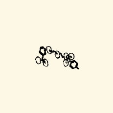 COC(=O)c1cccc(OCCOCCOS(=O)(=O)c2ccc(C)cc2)c1